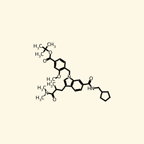 COc1cc(C(=O)OC(C)(C)C)ccc1Cn1cc(CC(C)C(=O)N(C)C)c2ccc(C(=O)NCC3CCCC3)cc21